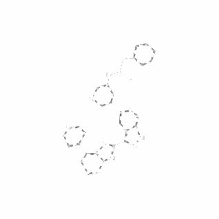 OC(Cc1ccccc1)Nc1cncc(-c2cc3c(-c4nc5c(-c6ccncc6)ccnc5[nH]4)n[nH]c3cn2)c1